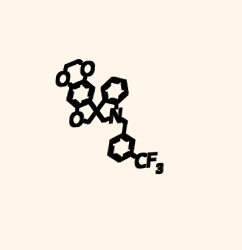 FC(F)(F)c1cccc(CN2CC3(COc4cc5c(cc43)OCCO5)c3ccccc32)c1